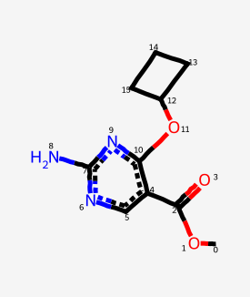 COC(=O)c1cnc(N)nc1OC1CCC1